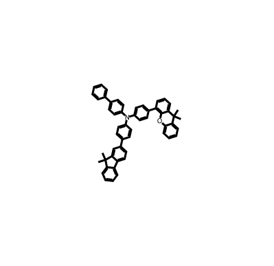 CC1(C)c2ccccc2-c2ccc(-c3ccc(N(c4ccc(-c5ccccc5)cc4)c4ccc(-c5cccc6c5Oc5ccccc5C6(C)C)cc4)cc3)cc21